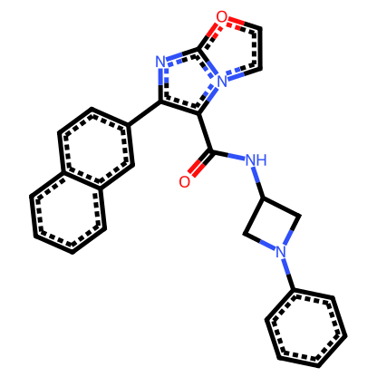 O=C(NC1CN(c2ccccc2)C1)c1c(-c2ccc3ccccc3c2)nc2occn12